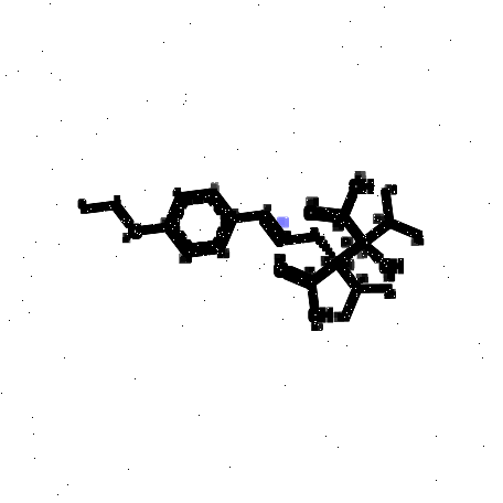 CCOc1ccc(/C=C/C[C@@](C(=O)O)(C(C)C)[C@](O)(C(=O)O)C(C)C)cc1